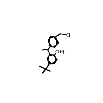 CC(c1ccc(CCl)cc1)c1cc(C(C)(C)C)ccc1O